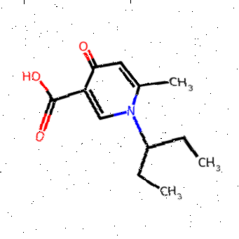 CCC(CC)n1cc(C(=O)O)c(=O)cc1C